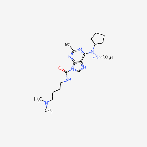 CN(C)CCCCNC(=O)n1cnc2c(N(NC(=O)O)C3CCCC3)nc(C#N)nc21